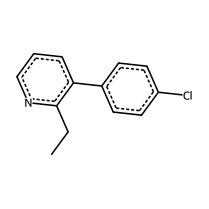 CCc1ncccc1-c1ccc(Cl)cc1